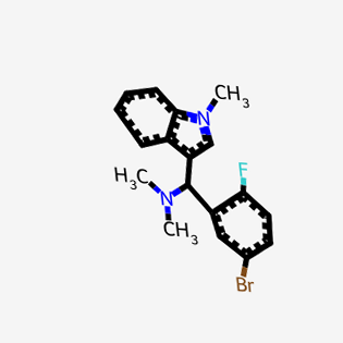 CN(C)C(c1cc(Br)ccc1F)c1cn(C)c2ccccc12